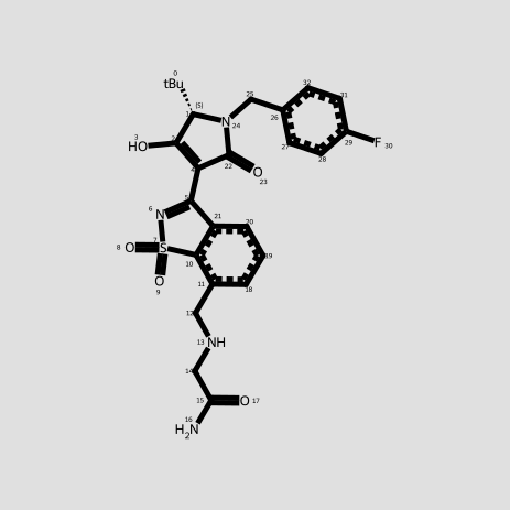 CC(C)(C)[C@H]1C(O)=C(C2=NS(=O)(=O)c3c(CNCC(N)=O)cccc32)C(=O)N1Cc1ccc(F)cc1